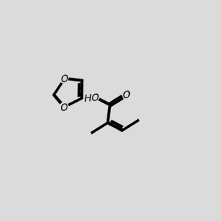 C1=COCO1.CC=C(C)C(=O)O